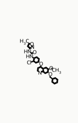 COc1cc2c(Oc3ccc(NC(=O)Nc4cc(C)on4)c(Cl)c3)ccnc2cc1OCc1ccccc1